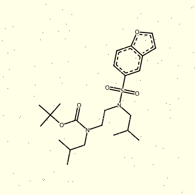 CC(C)CN(CCN(CC(C)C)S(=O)(=O)c1ccc2occc2c1)C(=O)OC(C)(C)C